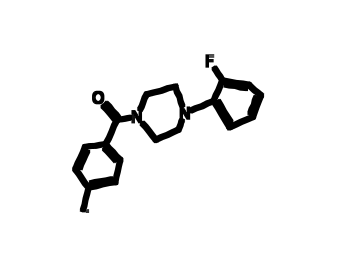 [CH2]c1ccc(C(=O)N2CCN(c3ccccc3F)CC2)cc1